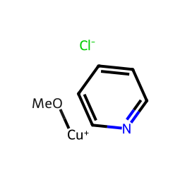 C[O][Cu+].[Cl-].c1ccncc1